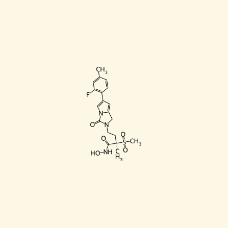 Cc1ccc(-c2cc3n(c2)C(=O)N(CC[C@](C)(C(=O)NO)S(C)(=O)=O)C3)c(F)c1